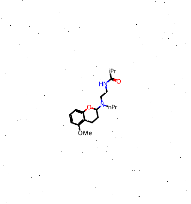 CCCN(CCNC(=O)C(C)C)C1CCc2c(OC)cccc2O1